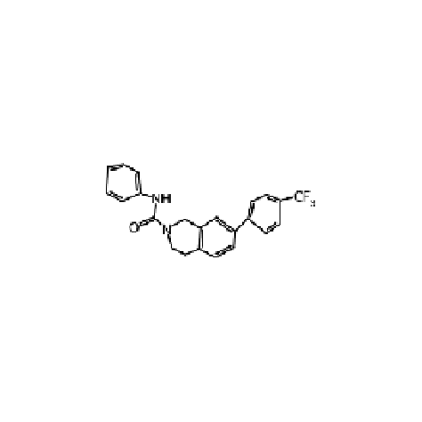 O=C(Nc1ccccc1)N1CCc2ccc(-c3ccc(C(F)(F)F)cc3)cc2C1